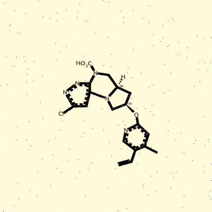 C=Cc1cnc(O[C@@H]2C[C@@H]3CN(C(=O)O)c4nnc(Cl)cc4N3C2)cc1C